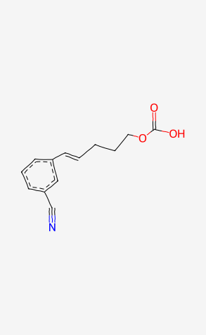 N#Cc1cccc(C=CCCCOC(=O)O)c1